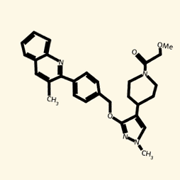 COCC(=O)N1CCC(c2cn(C)nc2OCc2ccc(-c3nc4ccccc4cc3C)cc2)CC1